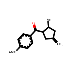 C=C1CC(C(C)=O)C(C(=O)c2ccc(OC)cc2)C1